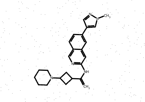 C=C(Nc1cc2cc(-c3cnn(C)c3)ccc2cn1)C1CC(N2CCCCC2)C1